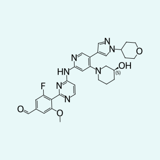 COc1cc(C=O)cc(F)c1-c1nccc(Nc2cc(N3CCC[C@H](O)C3)c(-c3cnn(C4CCOCC4)c3)cn2)n1